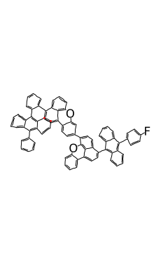 Fc1ccc(-c2c3ccccc3c(-c3ccc4c5c(c(-c6ccc7c(c6)Oc6cccc8c(-c9ccccc9-c9c%10ccccc%10c(-c%10ccccc%10)c%10ccccc9%10)ccc-7c68)ccc35)Oc3ccccc3-4)c3ccccc23)cc1